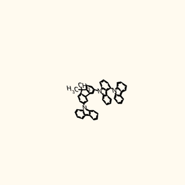 CC1(C)c2ccc(-n3c4ccccc4c4ccccc43)cc2-c2cc(-n3c4ccccc4c4c(-n5c6ccccc6c6ccccc65)cccc43)ccc21